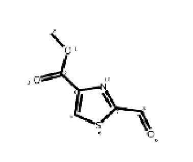 COC(=O)c1csc(C=O)n1